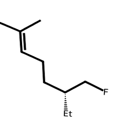 CC[C@@H](CF)CC/C=C(\C)I